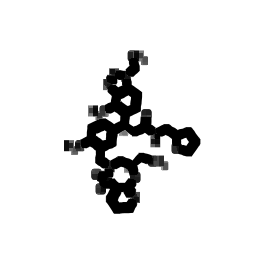 CC[C@@H]1CN(Cc2cc([C@H](CC(=O)NCC3CCCO3)c3ccc4c(nnn4CC)c3C)ccc2C)S(=O)(=O)c2cccnc2O1